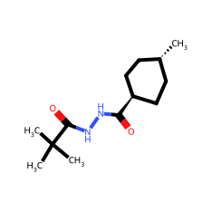 CC(C)(C)C(=O)NNC(=O)[C@H]1CC[C@H](C)CC1